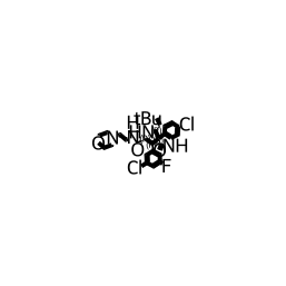 CC(C)(C)C[C@H]1N[C@@H](C(=O)NCCN2CCOCC2)[C@H](c2cc(F)cc(Cl)c2)[C@@]12C(=O)Nc1cc(Cl)ccc12